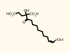 CCCCCCCC/C=C\CCCCCCCC(=O)C(O)(CCC(=O)O)C(=O)O